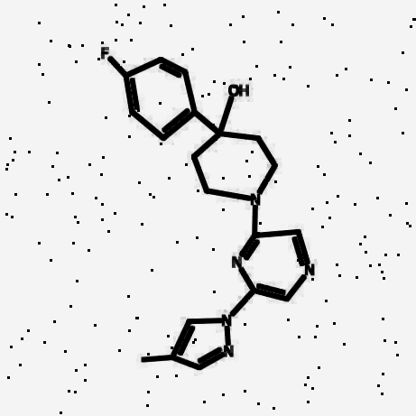 Cc1cnn(-c2cncc(N3CCC(O)(c4ccc(F)cc4)CC3)n2)c1